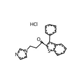 Cl.O=C(CCn1ccnc1)c1sc2ccccc2c1-c1ccccc1